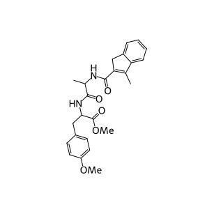 COC(=O)C(Cc1ccc(OC)cc1)NC(=O)C(C)NC(=O)C1=C(C)c2ccccc2C1